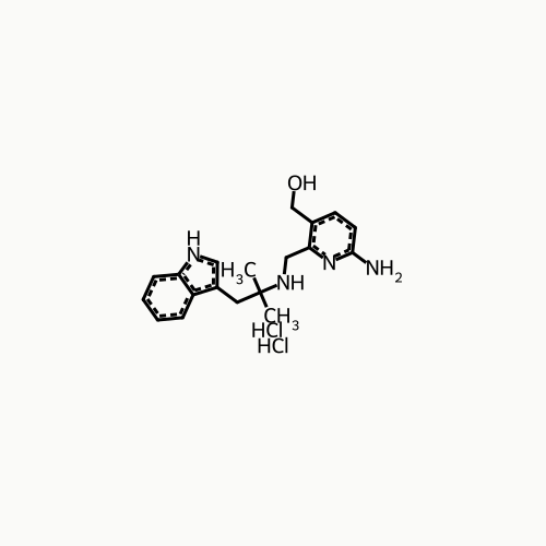 CC(C)(Cc1c[nH]c2ccccc12)NCc1nc(N)ccc1CO.Cl.Cl